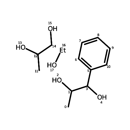 CC(O)C(O)c1ccccc1.CC(O)CO.CCO